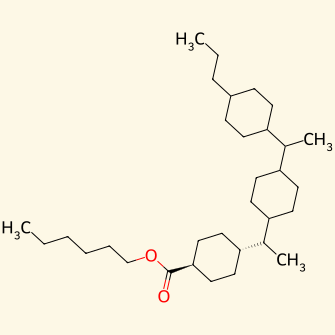 CCCCCCOC(=O)[C@H]1CC[C@H](C(C)C2CCC(C(C)C3CCC(CCC)CC3)CC2)CC1